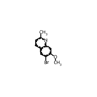 COc1cc2nc(C)ccc2cc1Br